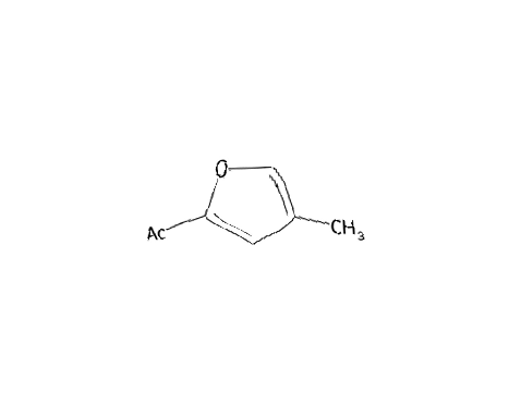 CC(=O)c1cc(C)co1